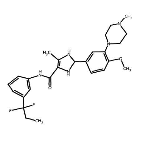 CCC(F)(F)c1cccc(NC(=O)C2=C(C)NC(c3ccc(OC)c(N4CCN(C)CC4)c3)N2)c1